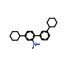 CN(C)c1cc(C2CCCCC2)ccc1-c1cccc(C2CCCCC2)c1